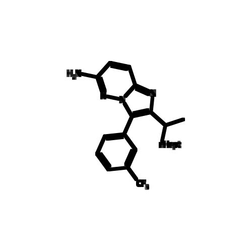 CCCCCCCC(C)c1nc2ccc(N)nn2c1-c1cccc(C(F)(F)F)c1